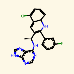 C[C@H](Nc1ncnc2[nH]cnc12)C1=C(c2cccc(F)c2)NC2C=CC=C(Cl)C2=C1